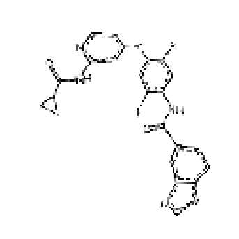 O=C(Nc1cc(F)c(Oc2ccnc(NC(=O)C3CC3)c2)cc1F)c1ccc2ncoc2c1